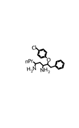 CCCC(N)CC(N)C(Cc1ccccc1)Oc1ccc(Cl)cc1